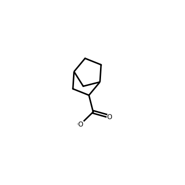 [O]C(=O)C1CC2CCC1C2